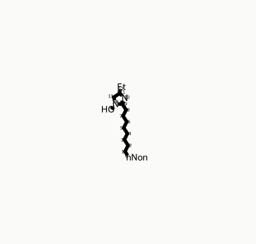 CCCCCCCCCCCCCCCCCC1=NC(CC)CN1O